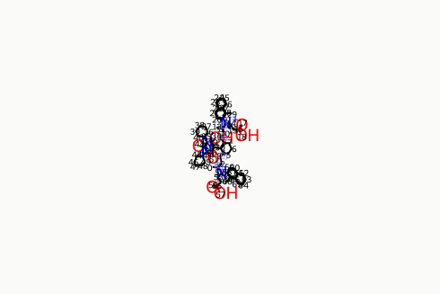 C/C(=C\C=C1/CCCC(/C=C/C(C)=[N+](\CCC(=O)O)c2ccc3ccccc3c2C)=C1c1c(O)n(C2CCCCC2)c(=O)n(C2CCCCC2)c1=O)N(CCC(=O)O)c1ccc2ccccc2c1C